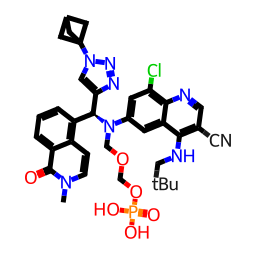 Cn1ccc2c([C@@H](c3cn(C45CC(C4)C5)nn3)N(COCOP(=O)(O)O)c3cc(Cl)c4ncc(C#N)c(NCC(C)(C)C)c4c3)cccc2c1=O